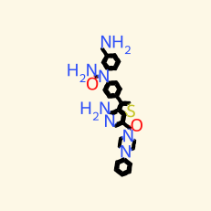 NCc1cccc(N(C(N)=O)c2ccc(-c3csc4c(C(=O)N5CCN(c6ccccc6)CC5)cnc(N)c34)cc2)c1